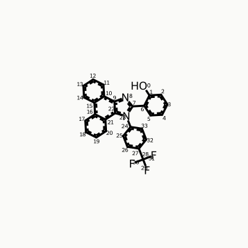 Oc1ccccc1-c1nc2c3ccccc3c3ccccc3c2n1-c1ccc(C(F)(F)F)cc1